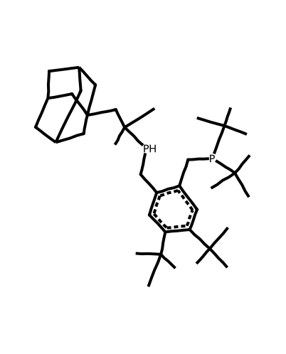 CC(C)(CC12CC3CC(CC(C3)C1)C2)PCc1cc(C(C)(C)C)c(C(C)(C)C)cc1CP(C(C)(C)C)C(C)(C)C